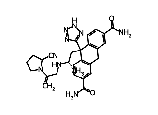 C=C(CN[C@@H](C)CC1(c2nn[nH]n2)c2ccc(C(N)=O)cc2Cc2cc(C(N)=O)ccc21)N1CCCC1C#N